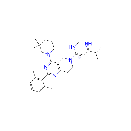 CN/C(=C\C(=N)C(C)C)N1CCc2nc(-c3c(C)cccc3C)nc(N3CCCC(C)(C)C3)c2C1